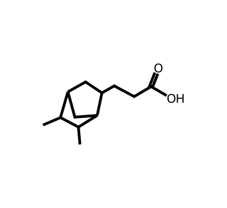 CC1C2CC(CCC(=O)O)C(C2)C1C